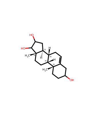 C[C@]12CCC(O)CC1=CC[C@@H]1[C@H]2CC[C@]2(C)C(O)C(O)C[C@@H]12